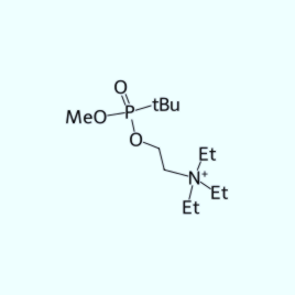 CC[N+](CC)(CC)CCOP(=O)(OC)C(C)(C)C